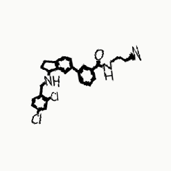 N#CCCNC(=O)c1cccc(-c2ccc3c(c2)C(NCc2ccc(Cl)cc2Cl)CC3)c1